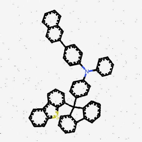 c1ccc(N(c2ccc(-c3ccc4ccccc4c3)cc2)c2ccc(C3(c4cccc5c4sc4ccccc45)c4ccccc4-c4ccccc43)cc2)cc1